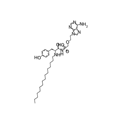 CCCCCCCCCCCCCCCCN[C@@H](Cc1ccc(O)cc1)C(=O)NP(=O)(O)COCCn1cnc2c(N)ncnc21